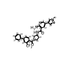 Cn1cc(-c2cnc(N)c(C(=O)N[C@@H]3CCN(C(=O)c4ccc(-c5ccccc5)cc4C(F)(F)F)C3)c2)cn1